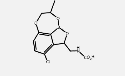 CC1COc2ccc(Cl)c3c2B(O1)OC3CNC(=O)O